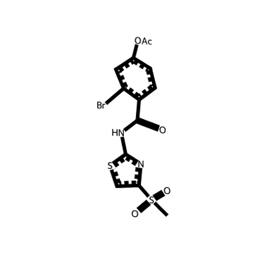 CC(=O)Oc1ccc(C(=O)Nc2nc(S(C)(=O)=O)cs2)c(Br)c1